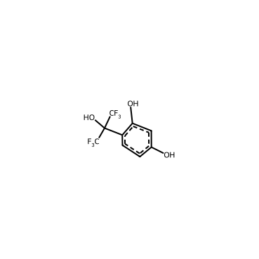 Oc1ccc(C(O)(C(F)(F)F)C(F)(F)F)c(O)c1